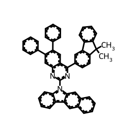 CC1(C)c2ccccc2-c2cc(-c3nc(-n4c5ccccc5c5cc6ccccc6cc54)nc4cc(-c5ccccc5)c(-c5ccccc5)cc34)ccc21